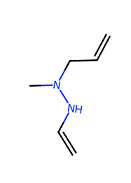 C=CCN(C)NC=C